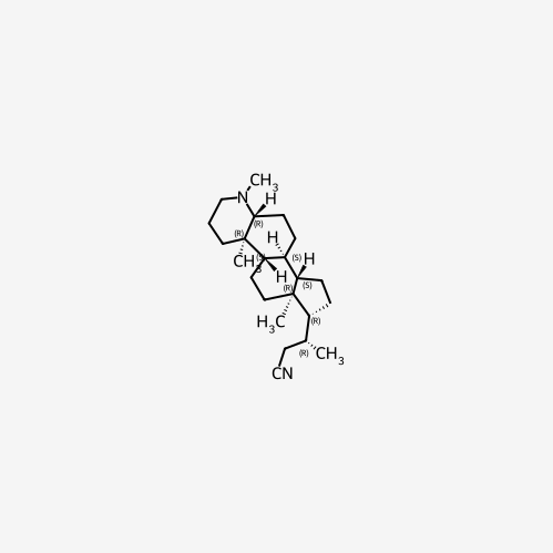 C[C@H](CC#N)[C@H]1CC[C@H]2[C@@H]3CC[C@H]4N(C)CCC[C@]4(C)[C@H]3CC[C@]12C